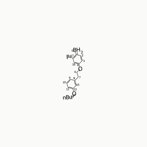 Bc1ccc(OCCc2cccc(OCCCC)c2)cc1F